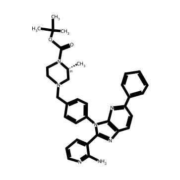 C[C@@H]1CN(Cc2ccc(-n3c(-c4cccnc4N)nc4ccc(-c5ccccc5)nc43)cc2)CCN1C(=O)OC(C)(C)C